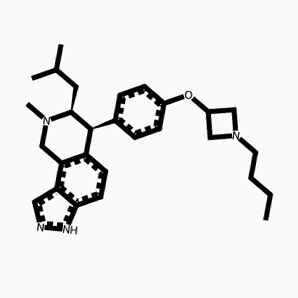 CCCCN1CC(Oc2ccc([C@H]3c4ccc5[nH]ncc5c4CN(C)[C@H]3CC(C)C)cc2)C1